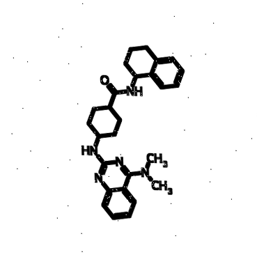 CN(C)c1nc(NC2CCC(C(=O)NC3CCCc4ccccc43)CC2)nc2ccccc12